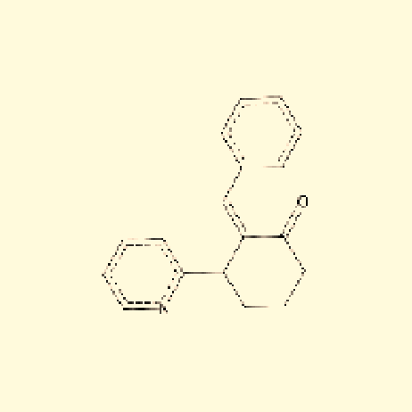 O=C1CCCC(c2ccccn2)/C1=C/c1ccccc1